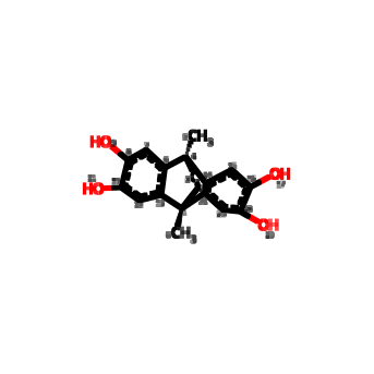 C[C@]12CC[C@@](C)(c3cc(O)c(O)cc31)c1cc(O)c(O)cc12